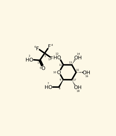 O=C(O)C(F)(F)F.OC[C@H]1OC(O)[C@H](O)[C@H](O)[C@@H]1O